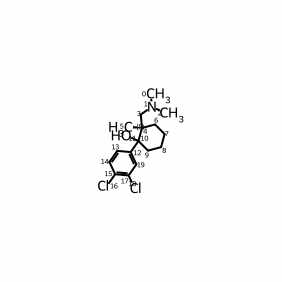 CN(C)C[C@]1(C)CCCCC1(O)c1ccc(Cl)c(Cl)c1